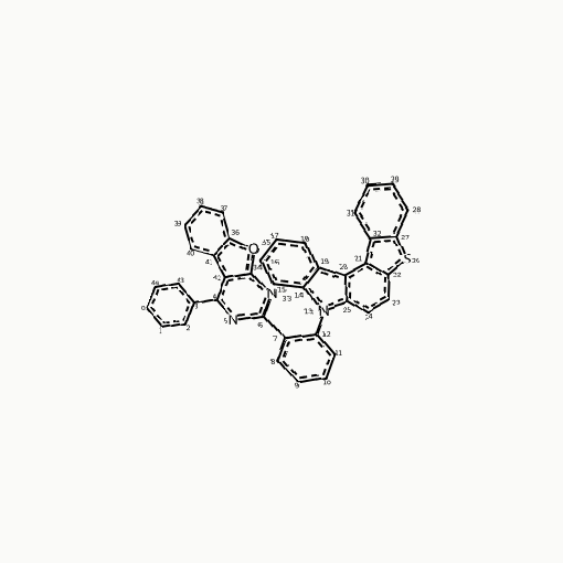 c1ccc(-c2nc(-c3ccccc3-n3c4ccccc4c4c5c(ccc43)sc3ccccc35)nc3oc4ccccc4c23)cc1